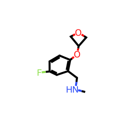 CNCc1cc(F)ccc1OC1COC1